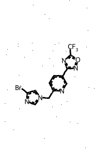 FC(F)(F)c1nc(-c2ccc(Cn3cnc(Br)c3)nc2)no1